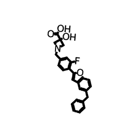 O=C(O)C1(O)CN(Cc2ccc(-c3cc4cc(Cc5ccccc5)ccc4o3)c(F)c2)C1